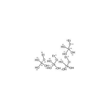 CCO[Si](O)(O)O.CCO[Si](O)(O)O.CCO[Si](O)(O)O.CCO[Si](O)(O)O